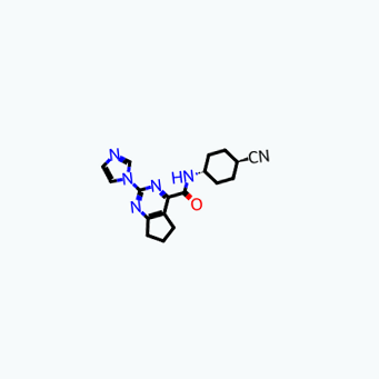 N#C[C@H]1CC[C@H](NC(=O)c2nc(-n3ccnc3)nc3c2CCC3)CC1